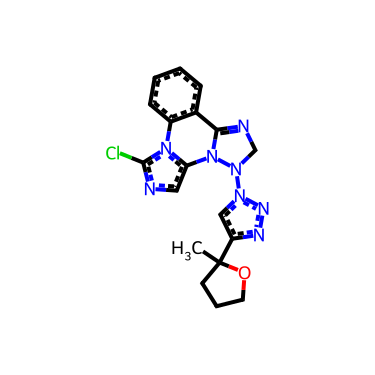 CC1(c2cn(N3CN=C4c5ccccc5-n5c(cnc5Cl)N43)nn2)CCCO1